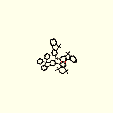 CC1(C)CCC(C)(C)c2c(-c3cc4c(cc3N(c3ccc5c(c3)C(C)(C)c3ccccc3-5)c3ccc5c(c3)C(C)(C)c3ccccc3-5)C(c3ccccc3)(c3ccccc3)c3ccccc3-4)cccc21